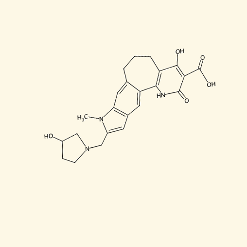 Cn1c(CN2CCC(O)C2)cc2cc3c(cc21)CCCc1c-3[nH]c(=O)c(C(=O)O)c1O